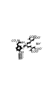 N[C@@H](Cc1ccc(O)cc1)C(=O)O.O=C([O-])CN(CCN(CC(=O)[O-])CC(=O)[O-])CCN(CC(=O)[O-])CC(=O)[O-].[Na+].[Na+].[Na+].[Na+].[Na+]